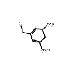 CCOC(=O)C1=CC(CCl)=CC(C(=O)OCC)C1